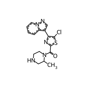 CC1CNCCN1C(=O)c1nc(-c2cnn3ccccc23)c(Cl)s1